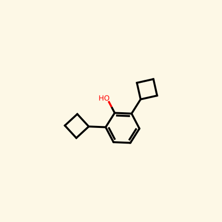 Oc1c(C2CCC2)cccc1C1CCC1